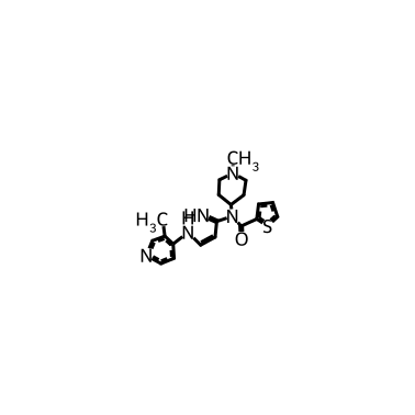 Cc1cnccc1N/C=C\C(=N)N(C(=O)c1cccs1)C1CCN(C)CC1